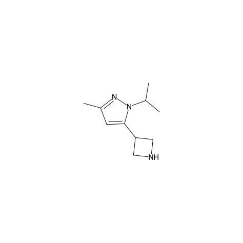 Cc1cc(C2CNC2)n(C(C)C)n1